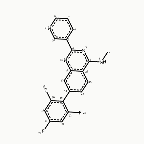 CNc1nc(-c2cccnc2)nc2cc(-c3c(F)cc(F)cc3F)ccc12